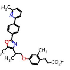 Cc1cccc(-c2ccc(-c3nc(C(C)COc4ccc(CCC(=O)O)c(C)c4)c(C)o3)cc2)n1